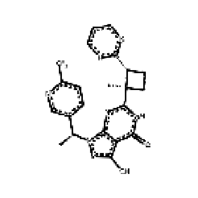 C[C@@H](c1ccc(C(F)(F)F)nc1)n1nc(C#N)c2c(=O)[nH]c([C@]3(C)CC[C@H]3c3ncccn3)nc21